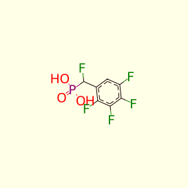 O=P(O)(O)C(F)c1cc(F)c(F)c(F)c1F